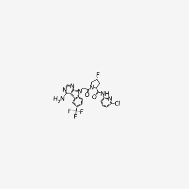 Nc1ncnc2c1c1cc(C(F)(F)F)ccc1n2CC(=O)N1C[C@H](F)C[C@H]1C(=O)Nc1cccc(Cl)n1